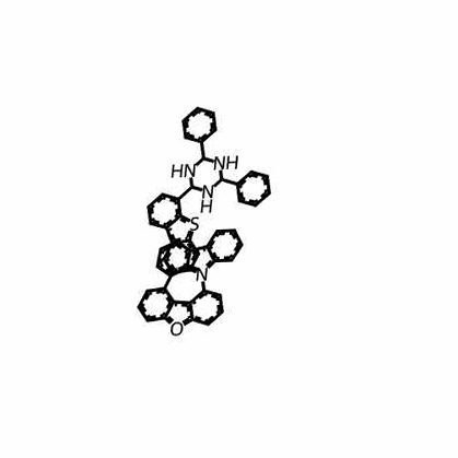 c1ccc(C2NC(c3ccccc3)NC(c3cccc4c3sc3ccc(-c5cccc6oc7cccc(-n8c9ccccc9c9ccccc98)c7c56)cc34)N2)cc1